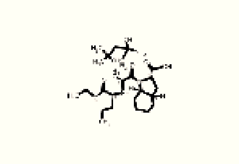 CC(C)(C)CC(C)(C)N.CCC[C@H](N[C@@H](C)C(=O)N1[C@H](C(=O)O)C[C@@H]2CCCC[C@@H]21)C(=O)OCC